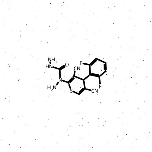 N#CC1=CSC(N(N)C(=O)NN)=C(C#N)C1c1c(F)cccc1F